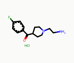 Cl.NCCN1CCC(C(=O)c2ccc(F)cc2)CC1